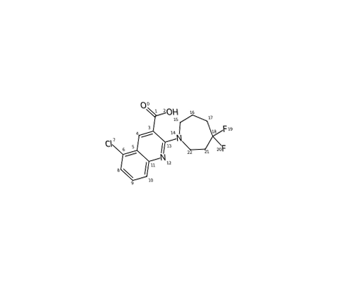 O=C(O)c1cc2c(Cl)cccc2nc1N1CCCC(F)(F)CC1